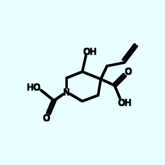 C=CCC1(C(=O)O)CCN(C(=O)O)CC1O